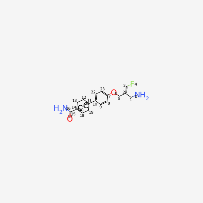 NCC(=CF)COc1ccc(C23CCC(C(N)=O)(CC2)CC3)cc1